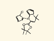 CC(C)(C)C=[C](B1OC(C)(C)C(C)(C)O1)[Zr]([C]1=CC=CC1)[C]1=CC=CC1Cl